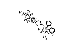 CC(C)(C)OC(=O)NNC1CCC(CO[Si](c2ccccc2)(c2ccccc2)C(C)(C)C)OC1